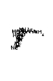 CC(=O)NC1C(OCCCCCCN)OC(Cn2cc(-c3ccc(C#N)cc3)nn2)C(O)C1O